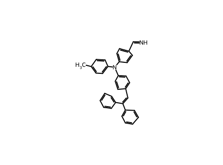 Cc1ccc(N(c2ccc(C=N)cc2)c2ccc(C=C(c3ccccc3)c3ccccc3)cc2)cc1